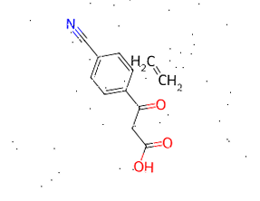 C=C.N#Cc1ccc(C(=O)CC(=O)O)cc1